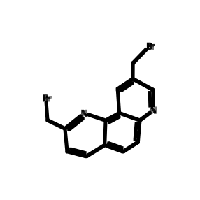 BrCc1cnc2ccc3ccc(CBr)nc3c2c1